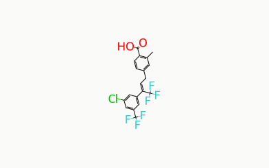 Cc1cc(CC=C(c2cc(Cl)cc(C(F)(F)F)c2)C(F)(F)F)ccc1C(=O)O